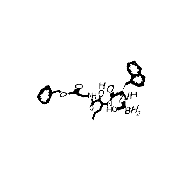 BC(=O)N[C@@H](Cc1cccc2ccccc12)C(=O)NC(CCC)C(O)C(=O)NCC(=O)OCc1ccccc1